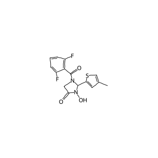 Cc1csc(C2N(O)C(=O)CN2C(=O)c2c(F)cccc2F)c1